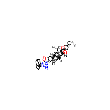 C[C@H]1CC[C@@]2(OC1)O[C@H]1C[C@H]3[C@@H]4CC[C@@H]5C[C@H](NC(=O)NC67CC8CC(CC(C8)C6)C7)CC[C@]5(C)[C@H]4CC[C@]3(C)[C@H]1[C@@H]2C